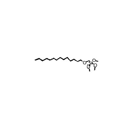 CCCCCCCCCCCCCCOC[Si](OC)(OC)OC